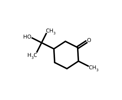 CC1CCC(C(C)(C)O)CC1=O